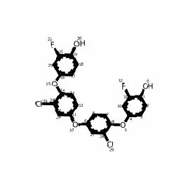 Oc1ccc(Oc2ccc(Oc3ccc(Oc4ccc(O)c(F)c4)c(Cl)c3)cc2Cl)cc1F